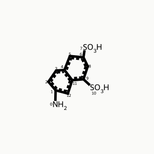 Nc1ccc2cc(S(=O)(=O)O)[c]c(S(=O)(=O)O)c2c1